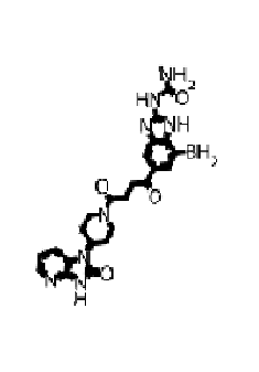 Bc1cc(C(=O)CCC(=O)N2CCC(n3c(=O)[nH]c4ncccc43)CC2)cc2nc(NC(N)=O)[nH]c12